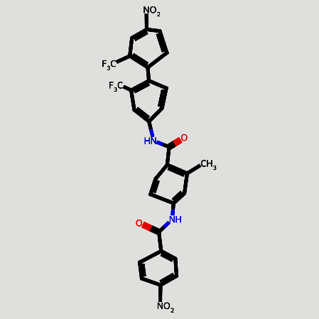 Cc1cc(NC(=O)c2ccc([N+](=O)[O-])cc2)ccc1C(=O)Nc1ccc(-c2ccc([N+](=O)[O-])cc2C(F)(F)F)c(C(F)(F)F)c1